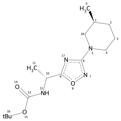 C[C@H]1CCCN(c2noc([C@@H](C)NC(=O)OC(C)(C)C)n2)C1